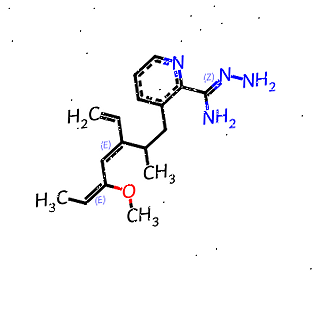 C=C/C(=C/C(=C\C)OC)C(C)Cc1cccnc1/C(N)=N/N